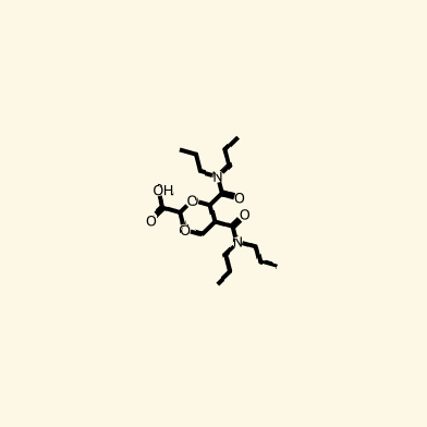 CCCN(CCC)C(=O)C1COC(C(=O)O)OC1C(=O)N(CCC)CCC